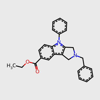 CCOC(=O)c1ccc2c(c1)c1c(n2-c2ccccc2)CN(Cc2ccccc2)C1